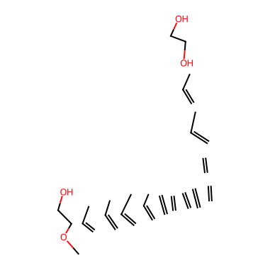 C=C.C=C.C=C.C=C.C=C.C=C.C=CC.C=CC.C=CC.C=CC.C=CC.C=CC.COCCO.OCCO